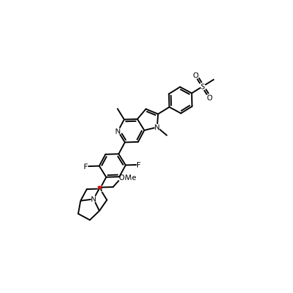 COCCN1C2CCC1CN(c1cc(F)c(-c3cc4c(cc(-c5ccc(S(C)(=O)=O)cc5)n4C)c(C)n3)cc1F)C2